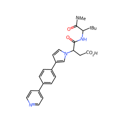 CNC(=O)C(NC(=O)C(CC(=O)O)n1ccc(-c2ccc(-c3ccncc3)cc2)c1)C(C)(C)C